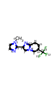 Cn1ccnc1-c1cn2cc(C(F)(F)F)ccc2n1